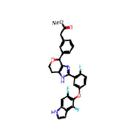 COC(=O)Cc1cccc(C2OCCc3[nH]c(-c4cc(Oc5c(F)cc6[nH]ccc6c5F)ccc4F)nc32)c1